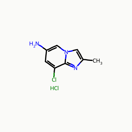 Cc1cn2cc(N)cc(Cl)c2n1.Cl